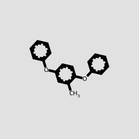 Cc1cc(Oc2ccccc2)ccc1Oc1ccccc1